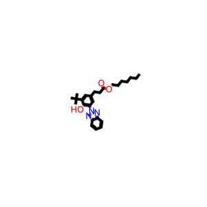 CCCCCCCOC(=O)CCc1cc(-n2nc3ccccc3n2)c(O)c(C(C)(C)C)c1